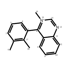 Cc1cccc(-c2c3ccccc3nc[n+]2C)c1C